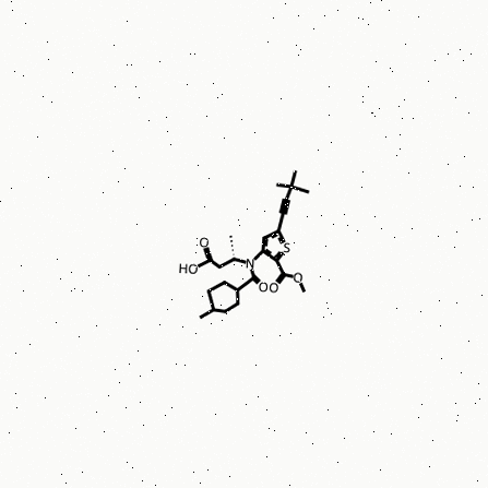 COC(=O)c1sc(C#CC(C)(C)C)cc1N(C(=O)C1CCC(C)CC1)[C@@H](C)CC(=O)O